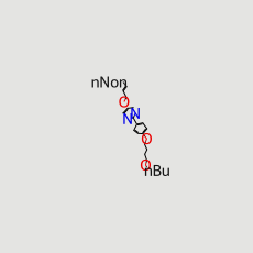 CCCCCCCCC/C=C/COc1cnc(-c2ccc(OCCCCOCCCC)cc2)nc1